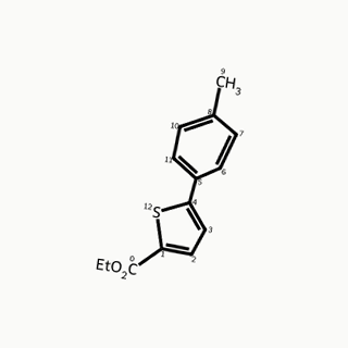 CCOC(=O)c1ccc(-c2ccc(C)cc2)s1